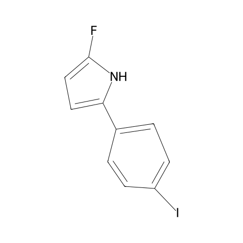 Fc1ccc(-c2ccc(I)cc2)[nH]1